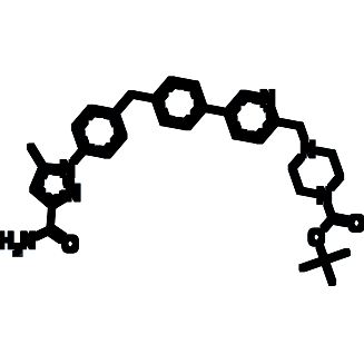 Cc1cc(C(N)=O)nn1-c1ccc(Cc2ccc(-c3ccc(CN4CCN(C(=O)OC(C)(C)C)CC4)nc3)cc2)cc1